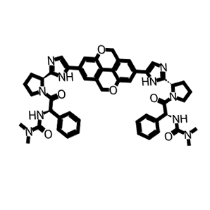 CN(C)C(=O)N[C@@H](C(=O)N1CCC[C@H]1c1ncc(-c2cc3c4c(c2)OCc2cc(-c5cnc([C@@H]6CCCN6C(=O)[C@H](NC(=O)N(C)C)c6ccccc6)[nH]5)cc(c2-4)OC3)[nH]1)c1ccccc1